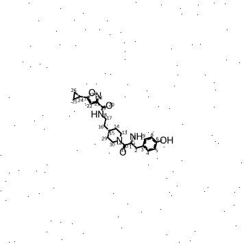 N[C@@H](Cc1ccc(O)cc1)C(=O)N1CCC(CCNC(=O)c2cc(C3CC3)on2)CC1